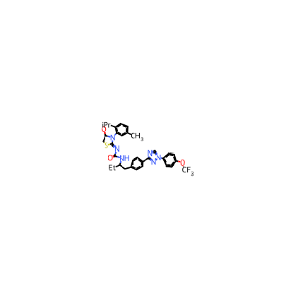 CCC(Cc1ccc(-c2ncn(-c3ccc(OC(F)(F)F)cc3)n2)cc1)NC(=O)N=C1SCC(=O)N1c1cc(C)ccc1C(C)C